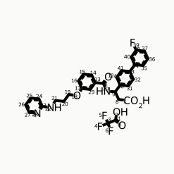 O=C(O)C(F)(F)F.O=C(O)CC(NC(=O)c1cccc(OCCCNc2ccccn2)c1)c1ccc(-c2cccc(F)c2)cc1